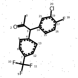 CC(=O)C(c1ccc(C(F)(F)F)cc1)c1ccc(F)c(Cl)c1